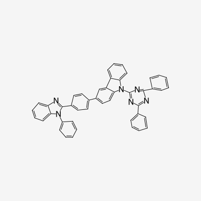 c1ccc(-c2nc(-c3ccccc3)nc(-n3c4ccccc4c4cc(-c5ccc(-c6nc7ccccc7n6-c6ccccc6)cc5)ccc43)n2)cc1